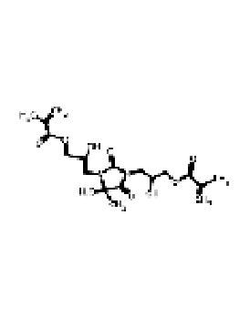 C=C(C)C(=O)OCC(O)CN1C(=O)N(CC(O)COC(=O)C(=C)C)C(C)(C)C1=O